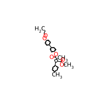 C=CCOOc1ccc(-c2ccc(OC(=O)C3(C)CC(c4ccc(C)cc4)C3C(=O)OC)cc2)cc1